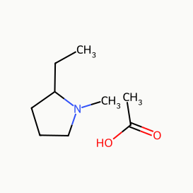 CC(=O)O.CCC1CCCN1C